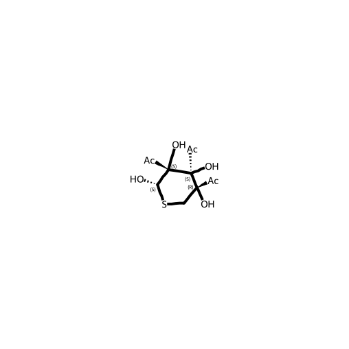 CC(=O)[C@]1(O)[C@@](O)(C(C)=O)CS[C@H](O)[C@@]1(O)C(C)=O